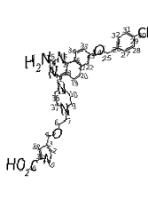 Cn1cc(COCCN2CCN(c3nc(N)nc4c3CCc3cc(OCc5ccc(Cl)cc5)ccc3-4)CC2)cc1C(=O)O